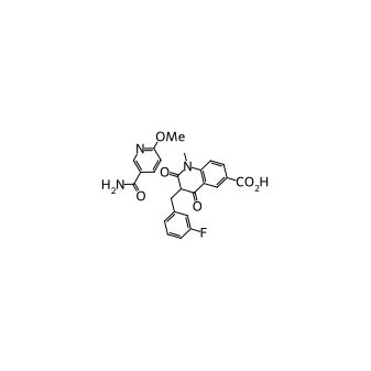 CN1C(=O)C(Cc2cccc(F)c2)C(=O)c2cc(C(=O)O)ccc21.COc1ccc(C(N)=O)cn1